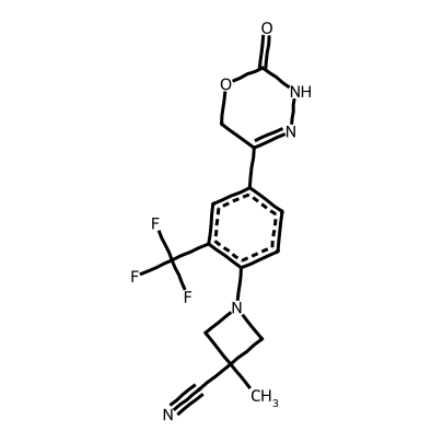 CC1(C#N)CN(c2ccc(C3=NNC(=O)OC3)cc2C(F)(F)F)C1